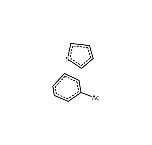 CC(=O)c1ccccc1.c1ccsc1